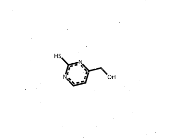 OCc1ccnc(S)n1